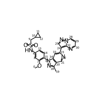 COc1cc(NS(=O)(=O)CC2CC2)ccc1-n1nc(C)c2cnc(-c3cnn4cccnc34)cc21